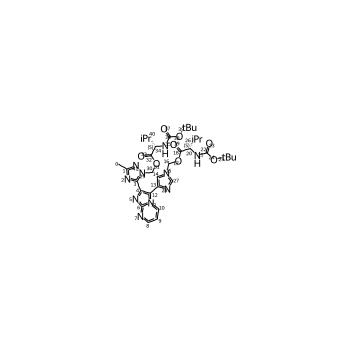 Cc1nc(-c2nc3ncccn3c2-c2cn(COC(=O)[C@@H](NC(=O)OC(C)(C)C)C(C)C)cn2)n(COC(=O)[C@@H](NC(=O)OC(C)(C)C)C(C)C)n1